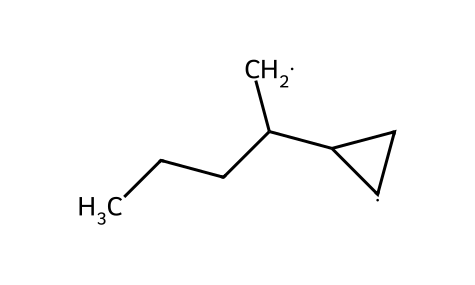 [CH2]C(CCC)C1[CH]C1